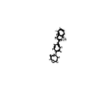 c1ccc2[nH]c(-c3ccc(N4CCOCC4)cc3)nc2c1